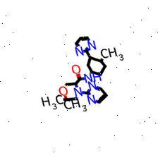 CC1CCC(NC(=O)C2COC(C)(C)CN2c2ncccn2)CC1c1ncccn1